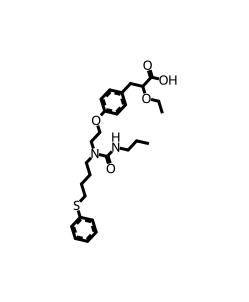 CCCNC(=O)N(CCCCSc1ccccc1)CCOc1ccc(CC(OCC)C(=O)O)cc1